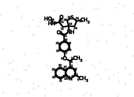 Cc1cc(C(C)Oc2ccc(C(=O)NC3(CC(=O)NO)CSC(C)C3)cc2)c2ccccc2n1